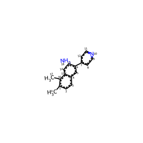 Cc1ccc2cc(-c3ccncc3)ccc2c1C.N